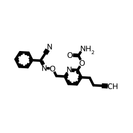 C#CCCc1ccc(CON=C(C#N)c2ccccc2)nc1OC(N)=O